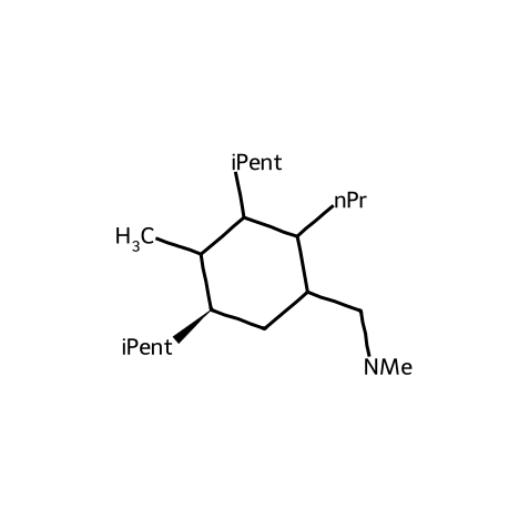 CCCC(C)C1C(CCC)C(CNC)C[C@@H](C(C)CCC)C1C